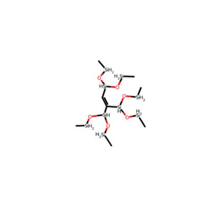 C[SiH2]O[SiH](C=C([SiH](O[SiH2]C)O[SiH2]C)[SiH](O[SiH2]C)O[SiH2]C)O[SiH2]C